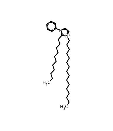 CCCCCCCCCCCCCCCC[n+]1ccn(-c2ccccc2)c1CCCCCCCCCCC